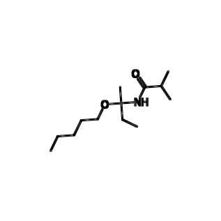 CCCCCOC(C)(CC)NC(=O)C(C)C